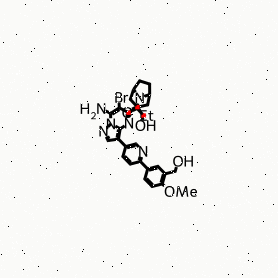 CCC1(c2nc3c(-c4ccc(-c5ccc(OC)c(CO)c5)nc4)cnn3c(N)c2Br)CC2CCC(C1)N2C(=O)CO